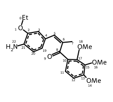 CCOc1cc(C=C(C)C(=O)c2ccc(OC)c(OC)c2OC)ccc1N